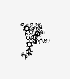 CC(C)(C)CCNC(=N)N(C(=O)c1ccc(-c2cnn(C(F)F)c2)cc1)[C@H](COc1ccc(F)cc1F)c1ccc(Cl)c(-n2ncnc2C(F)F)c1